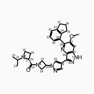 COc1cc2[nH]nc(-c3cnn(C4CN(C(=O)[C@@H]5CCN5C(C)C)C4)c3)c2nc1-c1cccc2c1CCC2